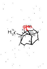 CC1C2CC3CC(CC(O)(C3)C2)C1O